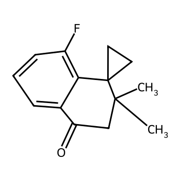 CC1(C)CC(=O)c2cccc(F)c2C12CC2